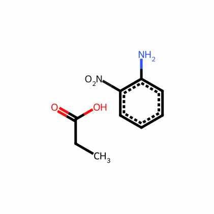 CCC(=O)O.Nc1ccccc1[N+](=O)[O-]